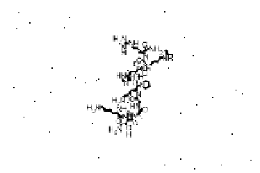 CC(C)NCCCC[C@H](NC(=O)[C@H](Cc1cnc[nH]1)NC(=O)[C@@H]1CCCN1C(=O)/C(CCCN)=N/C(=O)CNC(=O)[C@H](C)NC(=O)[C@@H](NC(=O)[C@@H](N)CCCCN)[C@@H](O)CN)C(=O)/N=C(\CCCNC(=N)N)C(N)=O